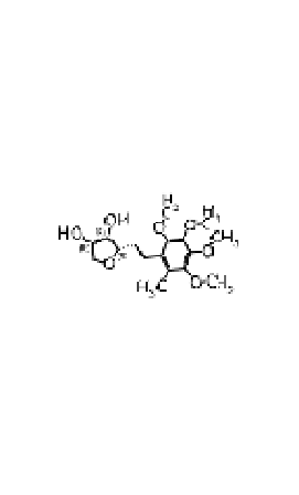 COc1c(C)c(CC[C@@H]2OC[C@@H](O)[C@H]2O)c(OC)c(OC)c1OC